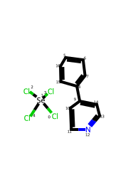 Cl[Se](Cl)(Cl)Cl.c1ccc(-c2ccncc2)cc1